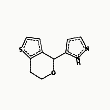 c1cc(C2OCCc3sccc32)[nH]n1